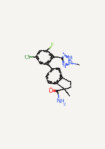 Cn1nnc(-c2c(F)cc(Cl)cc2-c2ccc3c(c2)CCC3(C)C(N)=O)n1